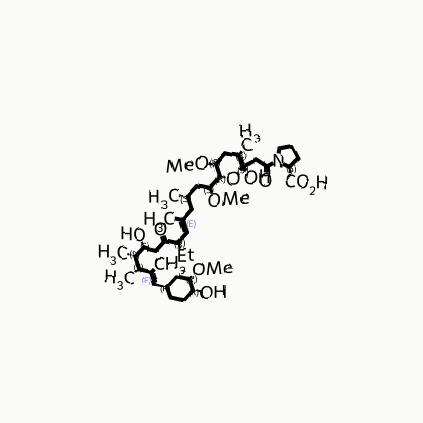 CC[C@H](/C=C(\C)C[C@H](C)C[C@H](OC)[C@H]1O[C@@](O)(CC(=O)N2CCC[C@H]2C(=O)O)[C@H](C)C[C@@H]1OC)C(=O)C[C@H](O)[C@@H](C)[C@H](C)/C(C)=C/[C@@H]1CC[C@@H](O)[C@H](OC)C1